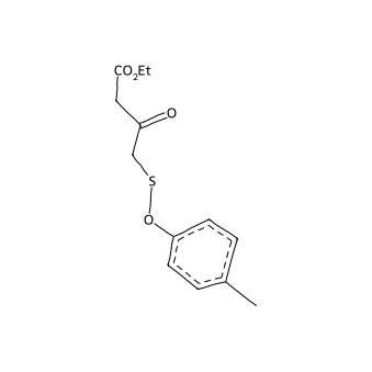 CCOC(=O)CC(=O)CSOc1ccc(C)cc1